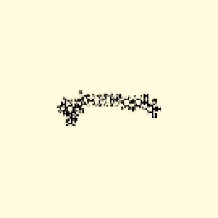 O=C1CC[C@@H](Nc2ccc(C3CCN(CC(=O)N4CCC(c5ccc(-c6cc(F)c7c(c6)C(=O)N(C(C(=O)Nc6nccs6)c6ncn8c6CCC8)C7)cc5)CC4)CC3)c(F)c2)C(=O)N1